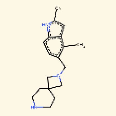 Cc1c(CN2CC3(CCNCC3)C2)ccc2[nH]c(C#N)cc12